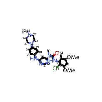 COc1cc(OC)c(Cl)c(NC(=O)N(C)c2cc(Nc3ccc(N4CCN(C(C)C)CC4)cc3)ncn2)c1C